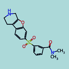 CN(C)C(=O)c1cccc(S(=O)(=O)c2ccc3c4c(oc3c2)CNCC4)c1